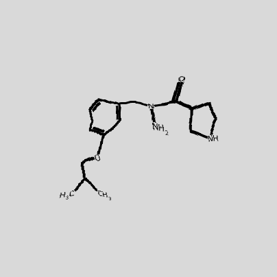 CC(C)COc1cccc(CN(N)C(=O)C2CCNC2)c1